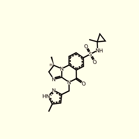 Cc1cc(CN2C(=O)c3cc(S(=O)(=O)NC4(C)CC4)ccc3N3C2=NC[C@H]3C)n[nH]1